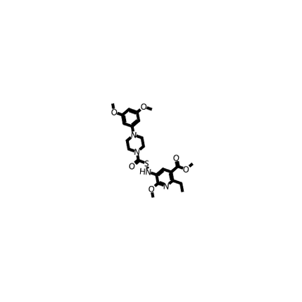 CCc1nc(OC)c(NSC(=O)N2CCN(c3cc(OC)cc(OC)c3)CC2)cc1C(=O)OC